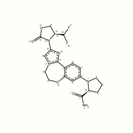 NC(=O)[C@@H]1CCCN1c1ccc2c(c1)OCCn1cc(N3C(=O)OC[C@H]3C(F)F)nc1-2